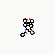 c1ccc(-c2nc(-c3ccccn3)cc(-c3cccc4c3-c3c(ccc5sccc35)C43c4ccccc4Oc4ccccc43)n2)cc1